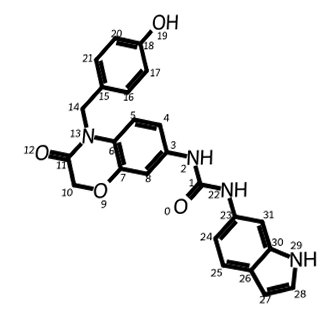 O=C(Nc1ccc2c(c1)OCC(=O)N2Cc1ccc(O)cc1)Nc1ccc2cc[nH]c2c1